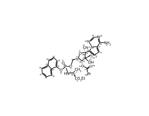 CCOC(=O)[C@H](C)NP(=O)(OC[C@H]1O[C@@](C#N)(c2ccc3c(N)ncnn23)[C@](C)(O)[C@@H]1OC(=O)C(C)C)Oc1cccc2ccccc12